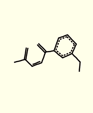 C=C(C)/C=C\C(=C)c1cccc(CC)c1